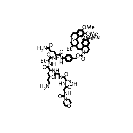 CCC1CN2CCc3cc(OC)c(OC)cc3C2CC1CC1c2cc(OC)c(OC)cc2CCN1C(=O)OCc1ccc(NC(=O)C(CCC(N)=O)NC(=O)[C@H](CC)NC(=O)[C@H](CCCCN)NC(=O)CNC(=O)[C@H](CO)NC(=O)CNC(=O)N2CCOCC2)cc1